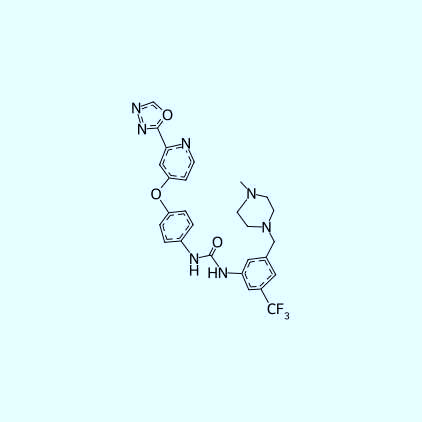 CN1CCN(Cc2cc(NC(=O)Nc3ccc(Oc4ccnc(-c5nnco5)c4)cc3)cc(C(F)(F)F)c2)CC1